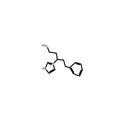 CCCCCCCCCCCCC(CCc1ccccc1)[n+]1cc[nH]c1